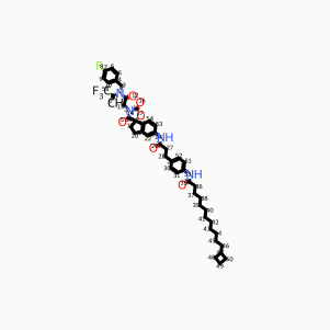 C[C@H](N(Cc1ccc(F)cc1)C(=O)CN1C(=O)OC2(CCc3cc(NC(=O)CCc4ccc(NC(=O)CCCCCCCCCCCC5CCC5)cc4)ccc32)C1=O)C(F)(F)F